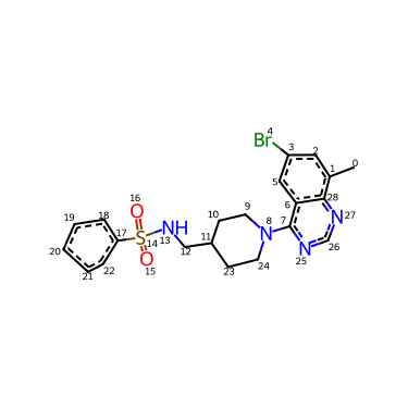 Cc1cc(Br)cc2c(N3CCC(CNS(=O)(=O)c4ccccc4)CC3)ncnc12